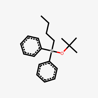 CCCC[Si](OC(C)(C)C)(c1ccccc1)c1ccccc1